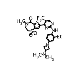 CCc1cc(N2CC(N(C)C)C2)ccc1Nc1ncc(C(F)(F)F)c(-c2cc3c(s2)C(=O)N(C)CCS3(=O)=O)n1